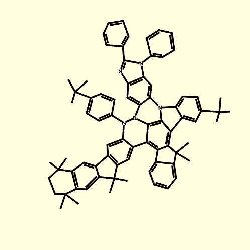 CC(C)(C)c1ccc(N2B3c4cc5nc(-c6ccccc6)n(-c6ccccc6)c5cc4-n4c5ccc(C(C)(C)C)cc5c5c6c(c(c3c54)-c3cc4c(cc32)-c2cc3c(cc2C4(C)C)C(C)(C)CCC3(C)C)-c2ccccc2C6(C)C)cc1